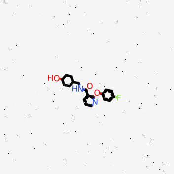 O=C(NCC1CCC(O)CC1)c1cccnc1Oc1ccc(F)cc1